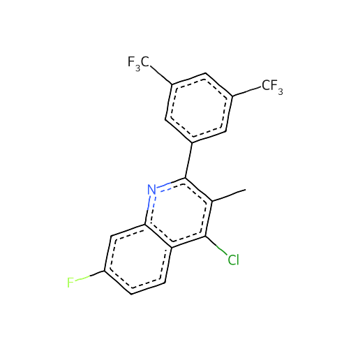 Cc1c(-c2cc(C(F)(F)F)cc(C(F)(F)F)c2)nc2cc(F)ccc2c1Cl